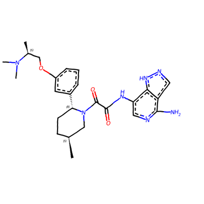 C[C@H]1CC[C@H](c2cccc(OC[C@H](C)N(C)C)c2)N(C(=O)C(=O)Nc2cnc(N)c3cn[nH]c23)C1